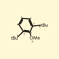 COc1c(C(C)(C)C)c[c]cc1C(C)(C)C